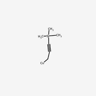 C[Si](C)(C)C#C[CH2][Cu]